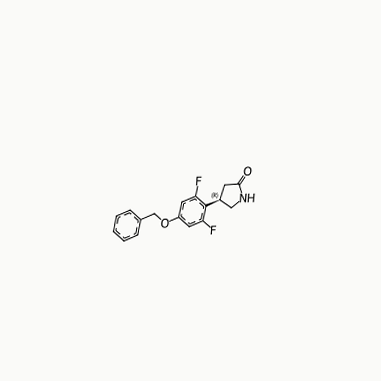 O=C1C[C@H](c2c(F)cc(OCc3ccccc3)cc2F)CN1